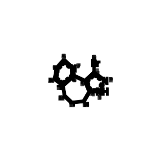 Brc1n[nH]c2c1-c1ncccc1CCC2